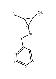 CC1C(Cl)C1NCc1ccccc1